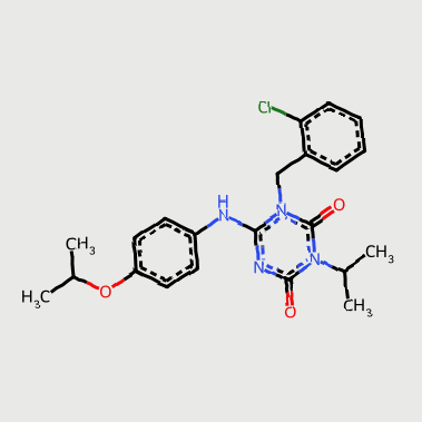 CC(C)Oc1ccc(Nc2nc(=O)n(C(C)C)c(=O)n2Cc2ccccc2Cl)cc1